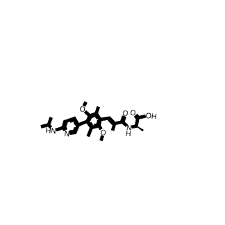 COc1c(C)c(-c2ccc(NC(C)C)nc2)c(OC)c(C)c1/C=C(\C)C(=O)N[C@H](C)C(=O)O